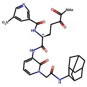 CNC(=O)C(=O)CC[C@H](NC(=O)c1cncc([N+](=O)[O-])c1)C(=O)Nc1cccn(CC(=O)NC2C3CC4CC(C3)CC2C4)c1=O